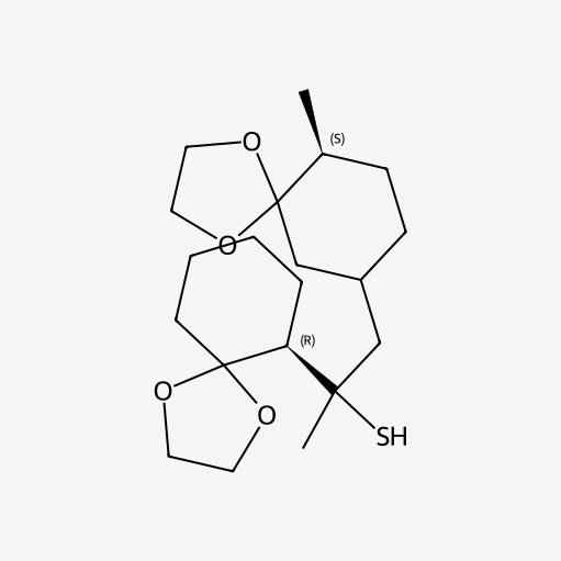 C[C@H]1CCC(CC(C)(S)[C@@H]2CCCCC23OCCO3)CC12OCCO2